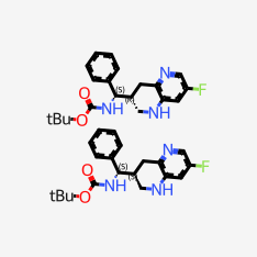 CC(C)(C)OC(=O)N[C@H](c1ccccc1)[C@@H]1CNc2cc(F)cnc2C1.CC(C)(C)OC(=O)N[C@H](c1ccccc1)[C@H]1CNc2cc(F)cnc2C1